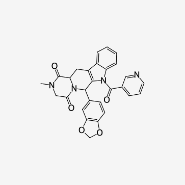 CN1CC(=O)N2C(Cc3c(n(C(=O)c4cccnc4)c4ccccc34)C2c2ccc3c(c2)OCO3)C1=O